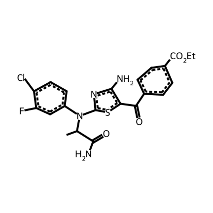 CCOC(=O)c1ccc(C(=O)c2sc(N(c3ccc(Cl)c(F)c3)C(C)C(N)=O)nc2N)cc1